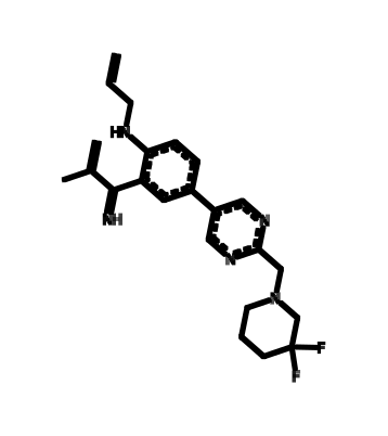 C=CCNc1ccc(-c2cnc(CN3CCCC(F)(F)C3)nc2)cc1C(=N)C(=C)C